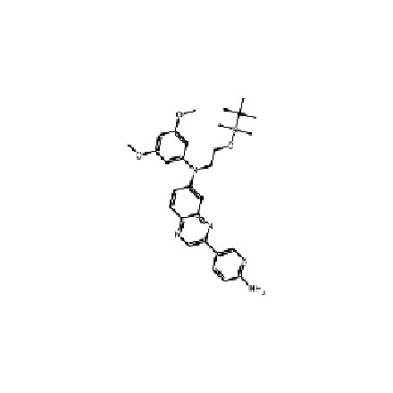 COc1cc(OC)cc(N(CCO[Si](C)(C)C(C)(C)C)c2ccc3ncc(-c4ccc(N)nc4)nc3c2)c1